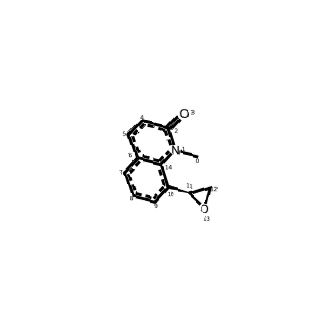 Cn1c(=O)ccc2cccc([C@H]3CO3)c21